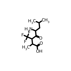 CC(C)CC(N)C(=O)C(C(C)C(=O)O)C(F)(F)F